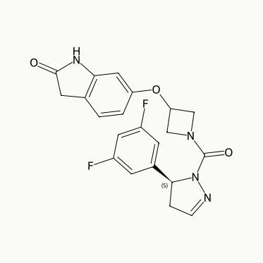 O=C1Cc2ccc(OC3CN(C(=O)N4N=CC[C@H]4c4cc(F)cc(F)c4)C3)cc2N1